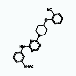 CC(=O)Nc1cccc(Nc2ncnc(N3CCC(Oc4ccccc4C#N)CC3)n2)c1